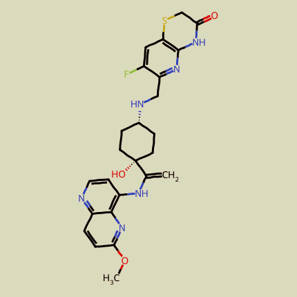 C=C(Nc1ccnc2ccc(OC)nc12)[C@]1(O)CC[C@@H](NCc2nc3c(cc2F)SCC(=O)N3)CC1